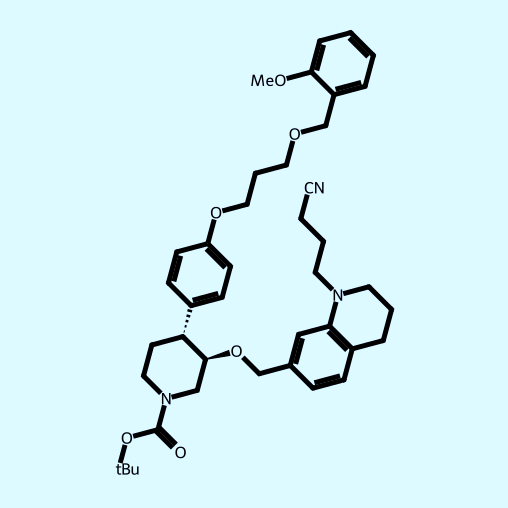 COc1ccccc1COCCCOc1ccc([C@H]2CCN(C(=O)OC(C)(C)C)C[C@@H]2OCc2ccc3c(c2)N(CCCC#N)CCC3)cc1